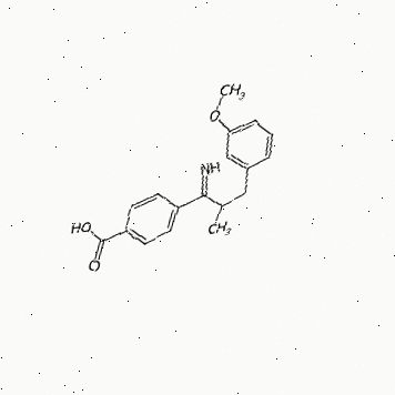 COc1cccc(CC(C)C(=N)c2ccc(C(=O)O)cc2)c1